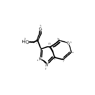 O=C(O)c1nnc2ccocc1-2